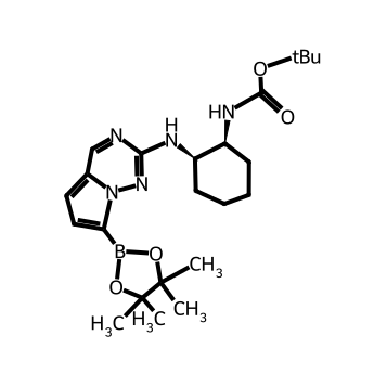 CC(C)(C)OC(=O)N[C@H]1CCCC[C@H]1Nc1ncc2ccc(B3OC(C)(C)C(C)(C)O3)n2n1